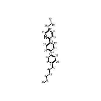 CCCCCCc1ccc(-c2ccc(-c3ccc(CCC)cn3)cc2)cc1